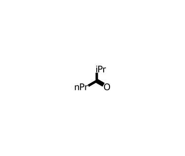 [CH2]C(C)C(=O)CCC